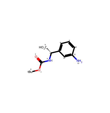 CC(C)(C)OC(=O)N[C@H](C(=O)O)c1cccc(N)c1